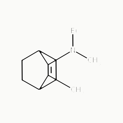 CCN(C)C1=C(C)C2CCC1CC2